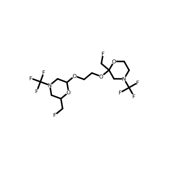 FCC1CN(C(F)(F)F)CC(OCCOC2(CF)CN(C(F)(F)F)CCO2)O1